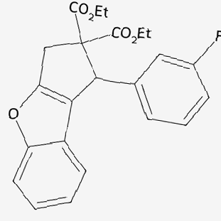 CCOC(=O)C1(C(=O)OCC)Cc2oc3ccccc3c2C1c1cccc(F)c1